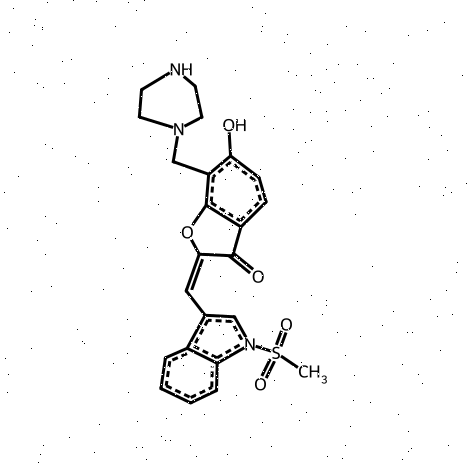 CS(=O)(=O)n1cc(C=C2Oc3c(ccc(O)c3CN3CCNCC3)C2=O)c2ccccc21